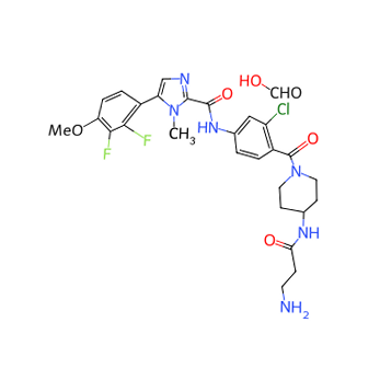 COc1ccc(-c2cnc(C(=O)Nc3ccc(C(=O)N4CCC(NC(=O)CCN)CC4)c(Cl)c3)n2C)c(F)c1F.O=CO